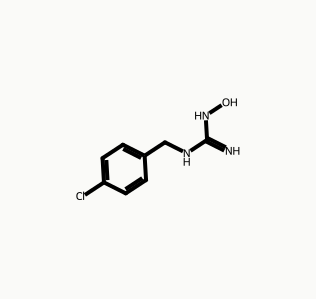 N=C(NO)NCc1ccc(Cl)cc1